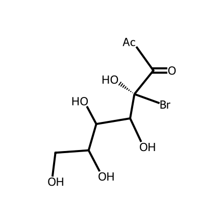 CC(=O)C(=O)[C@@](O)(Br)C(O)C(O)C(O)CO